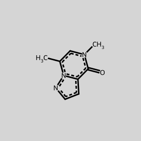 Cc1cn(C)c(=O)c2ccnn12